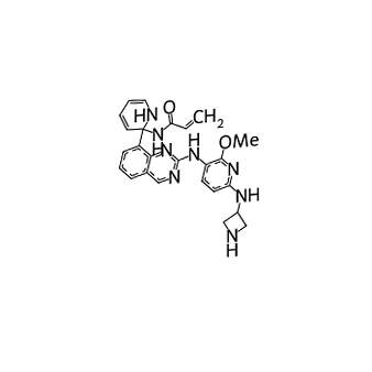 C=CC(=O)NC1(c2cccc3cnc(Nc4ccc(NC5CNC5)nc4OC)nc23)C=CC=CN1